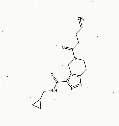 C=CCCC(=O)N1CCc2onc(C(=O)NCC3CC3)c2C1